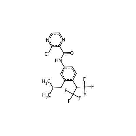 CC(C)Cc1cc(NC(=O)c2nccnc2Cl)ccc1C(C(F)(F)F)C(F)(F)F